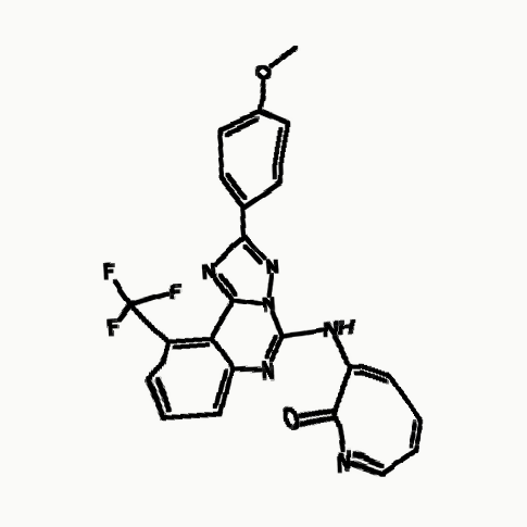 COc1ccc(-c2nc3c4c(C(F)(F)F)cccc4nc(Nc4ccccnc4=O)n3n2)cc1